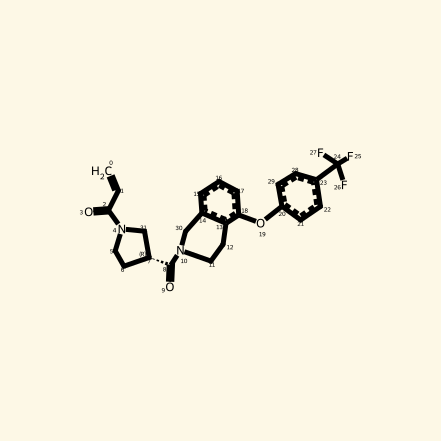 C=CC(=O)N1CC[C@@H](C(=O)N2CCc3c(cccc3Oc3ccc(C(F)(F)F)cc3)C2)C1